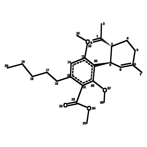 C=C(C)[C@@H]1CCC(C)=C[C@H]1c1c(OC)cc(CCCCC)c(C(=O)OC)c1OC